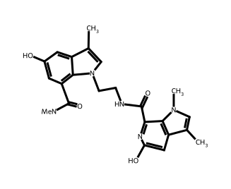 CNC(=O)c1cc(O)cc2c(C)cn(CCNC(=O)c3nc(O)cc4c(C)cn(C)c34)c12